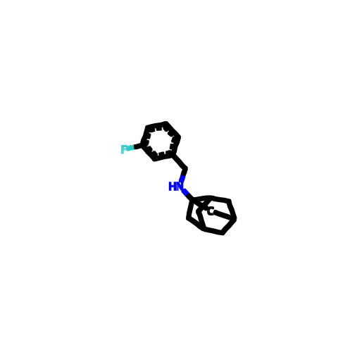 Fc1cccc(CNC23CC4CC(CC2C4)C3)c1